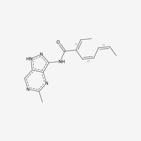 C\C=C/C=C\C(=C/C)C(=O)Nc1n[nH]c2cnc(C)nc12